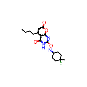 CCCCc1cc(=O)oc2nc(ON=C3CCC(C)(F)CC3)[nH]c(=O)c12